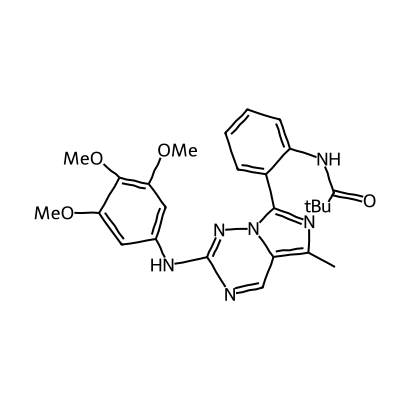 COc1cc(Nc2ncc3c(C)nc(-c4ccccc4NC(=O)C(C)(C)C)n3n2)cc(OC)c1OC